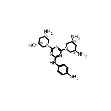 Nc1ccc(Nc2nc(N3C[C@H](N)C[C@H](N)C3)nc(N3C[C@@H](N)C[C@@H](O)C3)n2)cc1